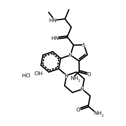 CNC(C)CC(=N)C1SC=C(C(N)=O)N1c1ccccc1N1CCN(CC(N)=O)CC1.Cl.Cl